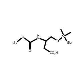 CC(C)(C)OC(=O)NC(CO[Si](C)(C)C(C)(C)C)CC(=O)O